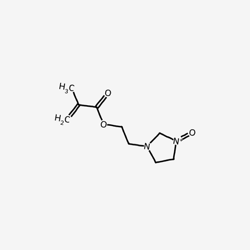 C=C(C)C(=O)OCCN1CC[N+](=O)C1